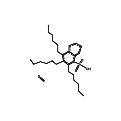 C=O.CCCCCCc1c(CCCCCC)c(S(=O)(=O)O)c2ccccc2c1CCCCCC